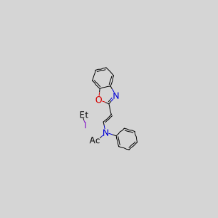 CC(=O)N(C=Cc1nc2ccccc2o1)c1ccccc1.CCI